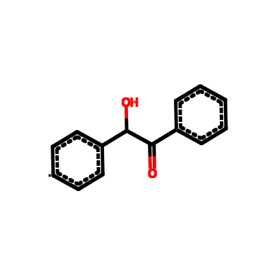 O=C(c1ccccc1)C(O)c1cc[c]cc1